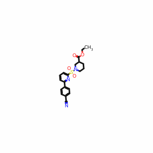 CCOC(=O)C1CCCN(S(=O)(=O)c2cccc(-c3ccc(C#N)cc3)n2)C1